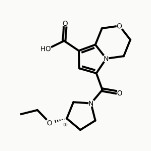 CCO[C@H]1CCN(C(=O)c2cc(C(=O)O)c3n2CCOC3)C1